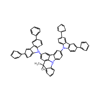 CC1(C)c2ccccc2-n2c3ccc(-n4c5ccc(-c6ccccc6)cc5c5cc(-c6ccccc6)ccc54)cc3c3cc(-n4c5ccc(-c6ccccc6)cc5c5cc(-c6ccccc6)ccc54)cc1c32